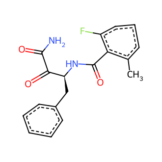 Cc1cccc(F)c1C(=O)N[C@@H](Cc1ccccc1)C(=O)C(N)=O